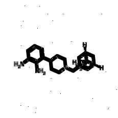 CC1(C)[C@@H]2CC(CN3CCC(c4cccc(N)c4N)CC3)=C[C@H]1C2